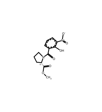 COC(=O)[C@@H]1CCCN1C(=O)c1cccc([N+](=O)[O-])c1O